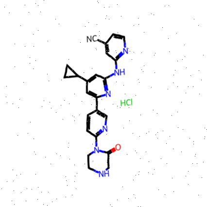 Cl.N#Cc1ccnc(Nc2cc(C3CC3)cc(-c3ccc(N4CCNCC4=O)nc3)n2)c1